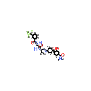 Cc1cc(C(=O)N(C)C)ccc1C1(O)CCC(N2CCC(NC(=O)CNC(=O)c3cccc(C(F)(F)F)c3)C2)CC1